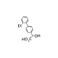 CCc1ccccc1-c1ccc(C(O)C(=O)O)cc1